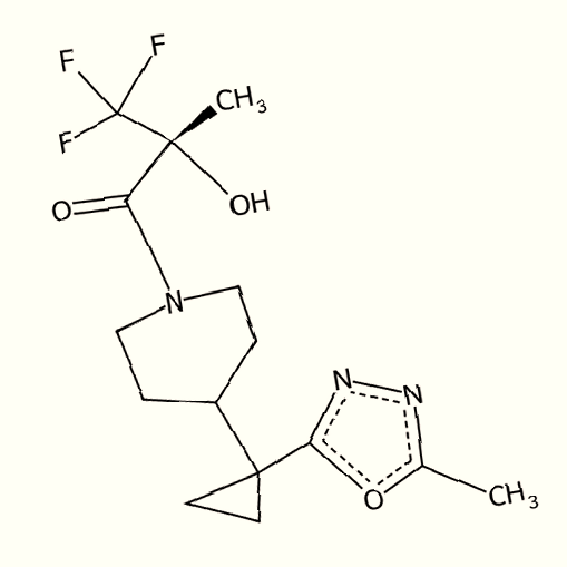 Cc1nnc(C2(C3CCN(C(=O)[C@@](C)(O)C(F)(F)F)CC3)CC2)o1